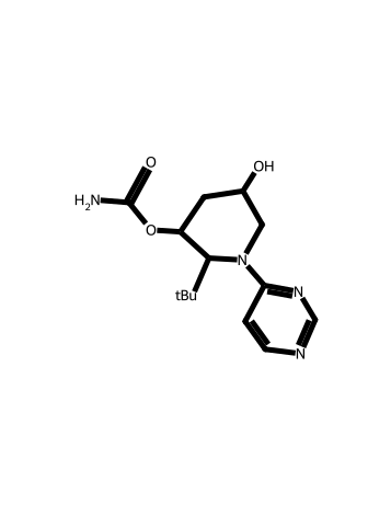 CC(C)(C)C1C(OC(N)=O)CC(O)CN1c1ccncn1